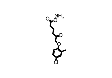 Cc1cc(Cl)ccc1OCC(=O)CCCC(=O)ON